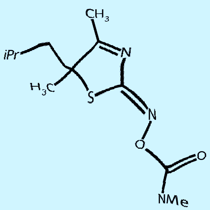 CNC(=O)ON=C1N=C(C)C(C)(CC(C)C)S1